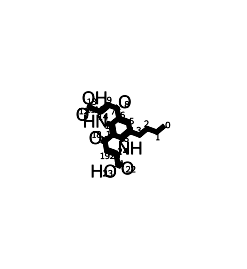 CCCCc1cc2c(=O)cc(C(=O)O)[nH]c2c2c(=O)cc(C(=O)O)[nH]c12